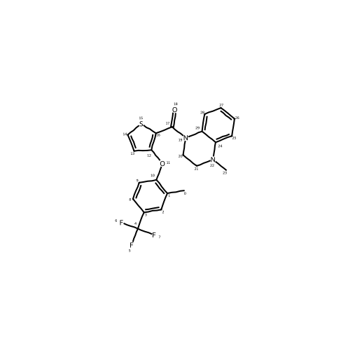 Cc1cc(C(F)(F)F)ccc1Oc1ccsc1C(=O)N1CCN(C)c2ccccc21